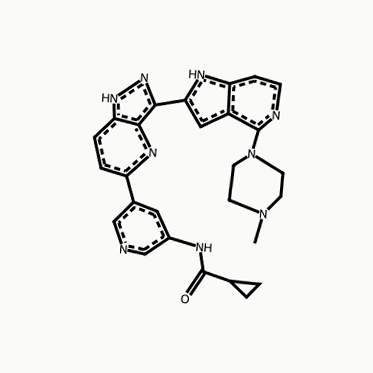 CN1CCN(c2nccc3[nH]c(-c4n[nH]c5ccc(-c6cncc(NC(=O)C7CC7)c6)nc45)cc23)CC1